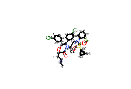 C/C=C/[C@H](C)[C@H]1O[C@H](c2cccc(Cl)c2)[C@@H](c2ccc(Cl)cc2)N([C@@H](CC)CN(c2ccccc2F)S(=O)(=O)C2CC2)C1=O